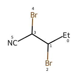 CCC(Br)C(Br)C#N